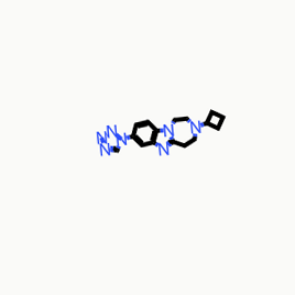 c1cc2c(cc1-n1cnnn1)nc1n2CCN(C2CCC2)CC1